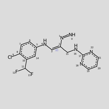 N=N/C(=C\Nc1ccc(Cl)c(C(F)F)c1)CNc1ncccn1